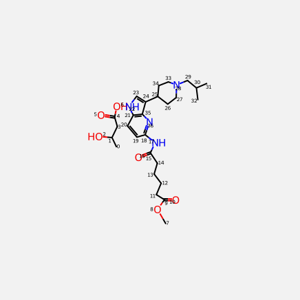 CC(O)CC(=O)O.COC(=O)CCCCC(=O)Nc1ccc2[nH]cc(C3CCN(CC(C)C)CC3)c2n1